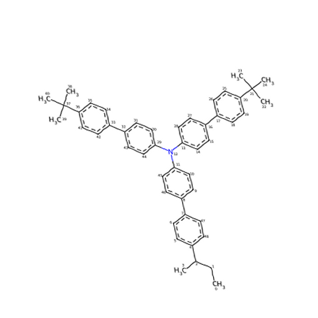 CCC(C)c1ccc(-c2ccc(N(c3ccc(-c4ccc(C(C)(C)C)cc4)cc3)c3ccc(-c4ccc(C(C)(C)C)cc4)cc3)cc2)cc1